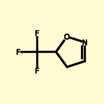 FC(F)(F)C1CC=NO1